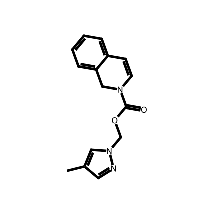 Cc1cnn(COC(=O)N2C=Cc3ccccc3C2)c1